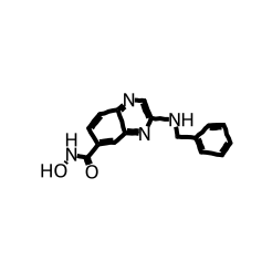 O=C(NO)c1ccc2ncc(NCc3ccccc3)nc2c1